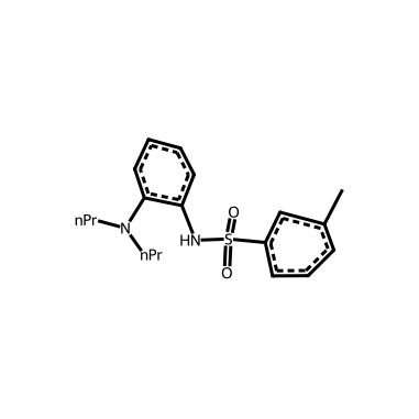 CCCN(CCC)c1ccccc1NS(=O)(=O)c1cccc(C)c1